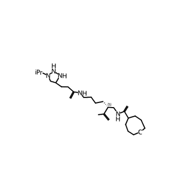 C=C(CCC1CN(C(C)C)NN1)NCCCC[C@H](CNC(=C)C1CCCCCCC1)C(=C)C